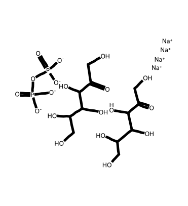 O=C(CO)C(O)C(O)C(O)CO.O=C(CO)C(O)C(O)C(O)CO.O=P([O-])([O-])OP(=O)([O-])[O-].[Na+].[Na+].[Na+].[Na+]